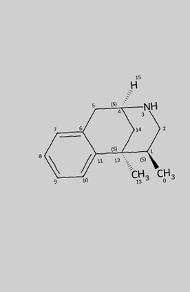 C[C@@H]1CN[C@@H]2Cc3ccccc3[C@@]1(C)C2